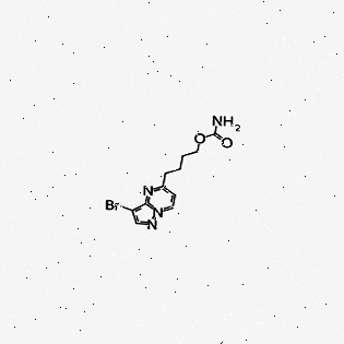 NC(=O)OCCCCc1ccn2ncc(Br)c2n1